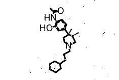 CC(=O)Nc1ccc([C@@]2(C)CCN(CCCC3CCCCC3)C[C@@H]2C)cc1O